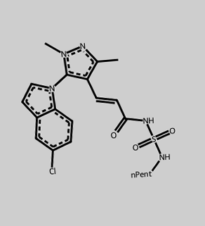 CCCCCNS(=O)(=O)NC(=O)/C=C/c1c(C)nn(C)c1-n1ccc2cc(Cl)ccc21